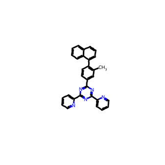 Cc1cc(-c2nc(-c3ccccn3)nc(-c3ccccn3)n2)ccc1-c1cccc2ccccc12